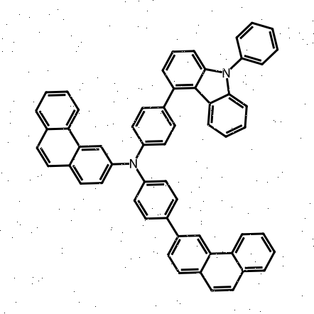 c1ccc(-n2c3ccccc3c3c(-c4ccc(N(c5ccc(-c6ccc7ccc8ccccc8c7c6)cc5)c5ccc6ccc7ccccc7c6c5)cc4)cccc32)cc1